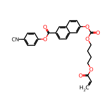 [C-]#[N+]c1ccc(OC(=O)c2ccc3cc(OC(=O)OCCCCOC(=O)C=C)ccc3c2)cc1